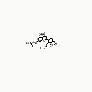 C=CCc1c(-c2cc(=O)c3c(O)cc(OCC(=O)O)cc3o2)ccc(OC)c1O